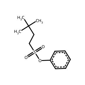 CC(C)(C)CCS(=O)(=O)Oc1ccccc1